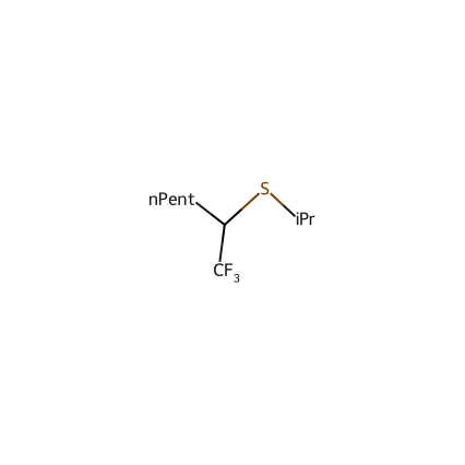 CCCCCC(SC(C)C)C(F)(F)F